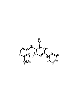 COc1cccc(Sc2c(O)cc(-c3ccccc3)oc2=O)c1